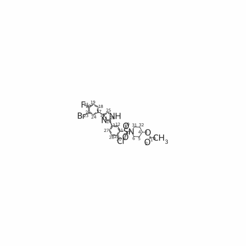 CC(=O)OC1CCN(S(=O)(=O)c2cc(-c3nc(-c4ccc(F)c(Br)c4)c[nH]3)ccc2Cl)CC1